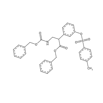 Cc1ccc(S(=O)(=O)Oc2cccc(C(CNC(=O)OCc3ccccc3)C(=O)OCc3ccccc3)c2)cc1